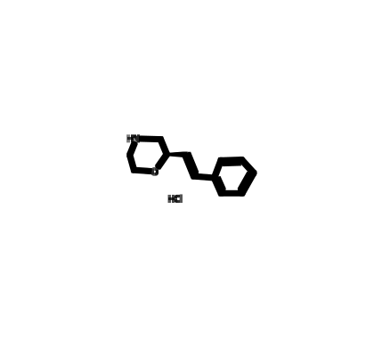 C(=C[C@@H]1CNCCO1)c1ccccc1.Cl